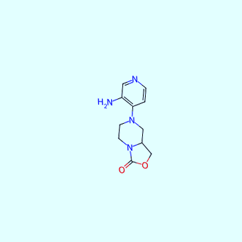 Nc1cnccc1N1CCN2C(=O)OCC2C1